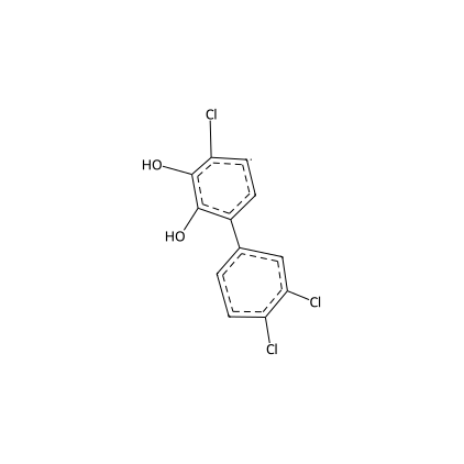 Oc1c(Cl)[c]cc(-c2ccc(Cl)c(Cl)c2)c1O